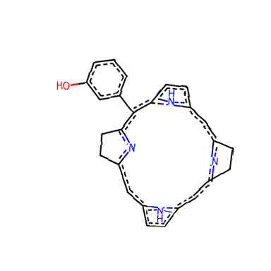 Oc1cccc(-c2c3nc(cc4ccc(cc5nc(cc6ccc2[nH]6)CC5)[nH]4)CC3)c1